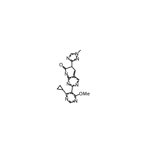 COc1ncnc(C2CC2)c1-c1ncc2c(n1)=NC(=O)C(c1ncn(C)n1)C=2